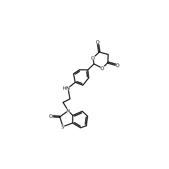 O=C1CC(=O)OC(c2ccc(NCCn3c(=O)sc4ccccc43)cc2)O1